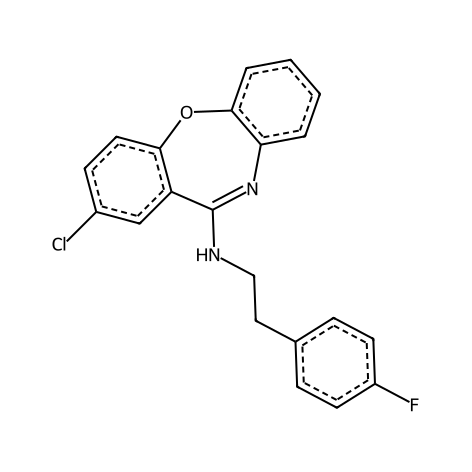 Fc1ccc(CCNC2=Nc3ccccc3Oc3ccc(Cl)cc32)cc1